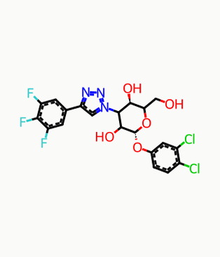 OCC1O[C@H](Oc2ccc(Cl)c(Cl)c2)C(O)C(n2cc(-c3cc(F)c(F)c(F)c3)nn2)[C@H]1O